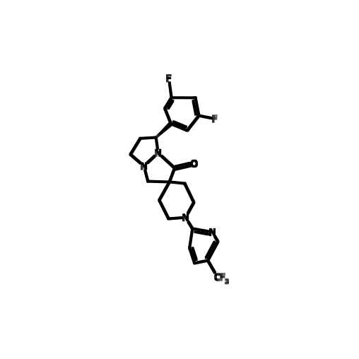 O=C1N2[C@H](c3cc(F)cc(F)c3)CCN2CC12CCN(c1ccc(C(F)(F)F)cn1)CC2